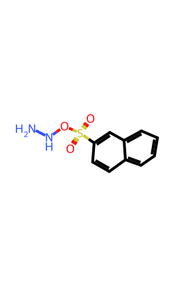 NNOS(=O)(=O)c1ccc2ccccc2c1